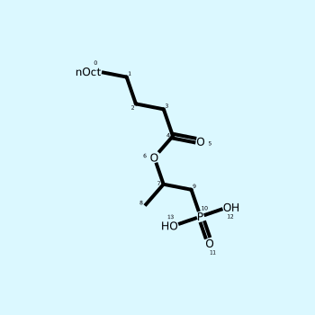 CCCCCCCCCCCC(=O)OC(C)CP(=O)(O)O